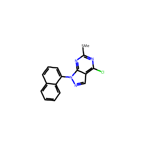 CSc1nc(Cl)c2cnn(-c3cccc4ccccc34)c2n1